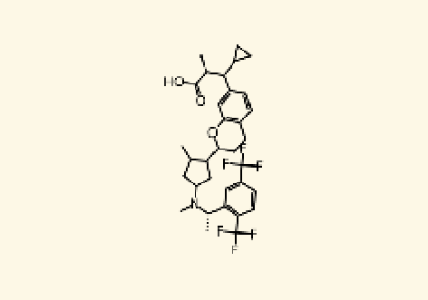 CC1CC(N(C)[C@@H](C)c2cc(C(F)(F)F)ccc2C(F)(F)F)CC1C1CCc2ccc(C(C3CC3)[C@H](C)C(=O)O)cc2O1